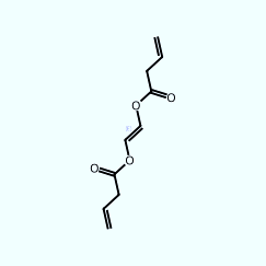 C=CCC(=O)O/C=C/OC(=O)CC=C